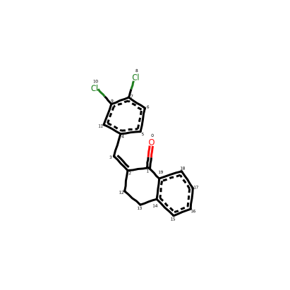 O=C1C(=Cc2ccc(Cl)c(Cl)c2)CCc2ccccc21